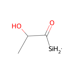 CC(O)C(=O)[SiH2]